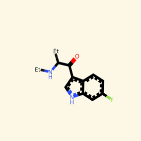 CCNC(CC)C(=O)c1c[nH]c2cc(F)ccc12